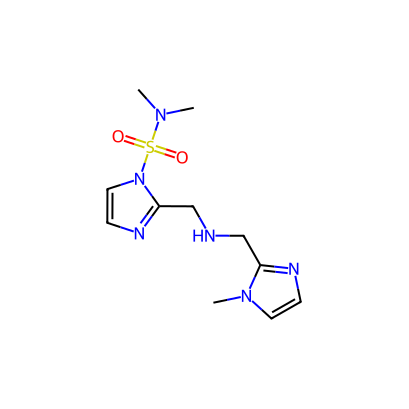 CN(C)S(=O)(=O)n1ccnc1CNCc1nccn1C